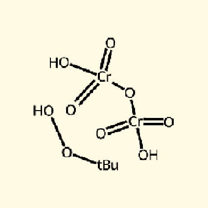 CC(C)(C)OO.[O]=[Cr](=[O])([OH])[O][Cr](=[O])(=[O])[OH]